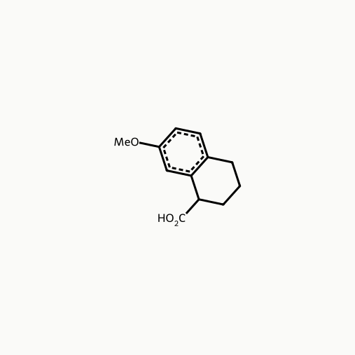 COc1ccc2c(c1)C(C(=O)O)CCC2